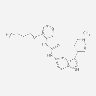 CCCCOc1ccccc1NC(=O)Nc1ccc2[nH]cc(C3C=CN(C)CC3)c2c1